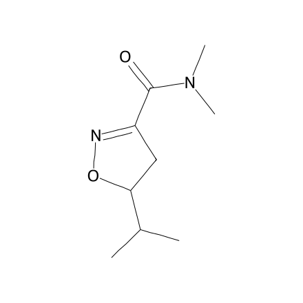 CC(C)C1CC(C(=O)N(C)C)=NO1